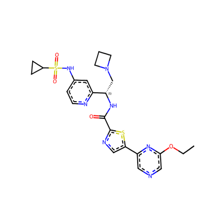 CCOc1cncc(-c2cnc(C(=O)N[C@@H](CN3CCC3)c3cc(NS(=O)(=O)C4CC4)ccn3)s2)n1